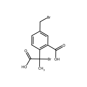 CC(Br)(C(=O)O)c1ccc(CBr)cc1C(=O)O